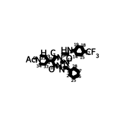 CC(=O)N1CCC(c2c(C)n(CC(=O)Nc3ccc(C(F)(F)F)cc3)c3nc(-c4ccccc4)nn3c2=O)CC1